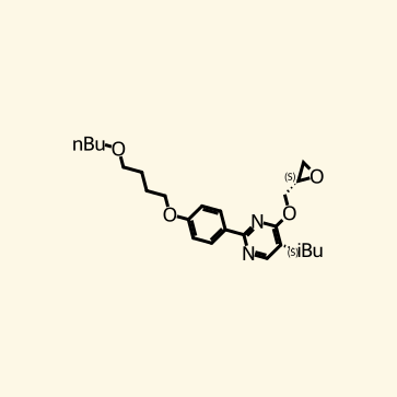 CCCCOCCCCOc1ccc(-c2ncc([C@@H](C)CC)c(OC[C@@H]3CO3)n2)cc1